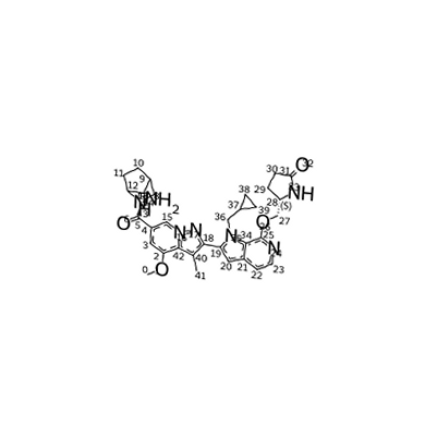 COc1cc(C(=O)N2CC3CCC2[C@@H]3N)cn2nc(-c3cc4ccnc(OC[C@@H]5CCC(=O)N5)c4n3CC3CC3)c(C)c12